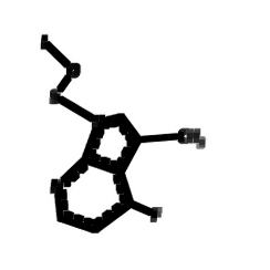 Cc1cn(SOI)c2nccc(F)c12